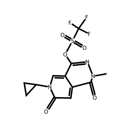 Cn1nc(OS(=O)(=O)C(F)(F)F)c2cn(C3CC3)c(=O)cc2c1=O